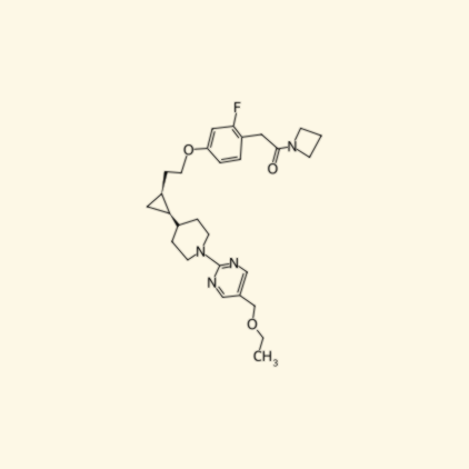 CCOCc1cnc(N2CCC([C@H]3C[C@H]3CCOc3ccc(CC(=O)N4CCC4)c(F)c3)CC2)nc1